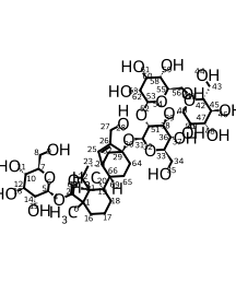 CC1(C(=O)O[C@@H]2O[C@H](CO)[C@@H](O)[C@H](O)[C@H]2O)CCC[C@@]2(C)[C@H]1CC[C@@]13C=C(CO)[C@](O[C@@H]4O[C@H](CO)[C@@H](O)[C@H](O[C@@H]5O[C@H](CO)[C@@H](O)[C@H](O)[C@H]5O)[C@H]4O[C@@H]4O[C@H](CO)[C@@H](O)[C@H](O)[C@H]4O)(CC[C@@H]12)C3